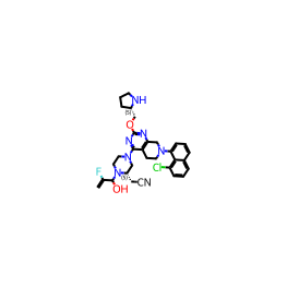 C=C(F)C(O)N1CCN(c2nc(OC[C@@H]3CCCN3)nc3c2CCN(c2cccc4cccc(Cl)c24)C3)C[C@@H]1CC#N